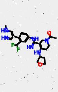 CN/C=C(\C=N)c1ccc(NC(=N)C2=C(NC3CCOC3)CCN(C(C)=O)C2)cc1C(F)F